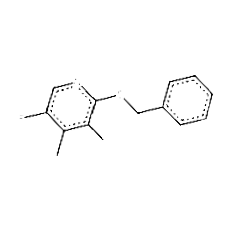 Cc1c(F)cnc(SCc2ccccc2)c1F